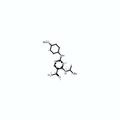 COC1CCC(Nc2ncc(C(N)=O)c(NC(C)C(C)(C)C)n2)CC1